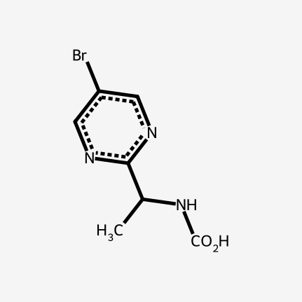 CC(NC(=O)O)c1ncc(Br)cn1